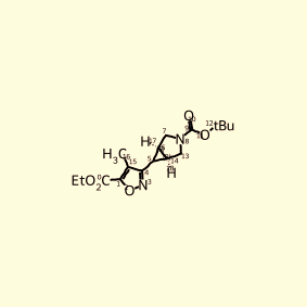 CCOC(=O)c1onc(C2[C@H]3CN(C(=O)OC(C)(C)C)C[C@@H]23)c1C